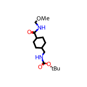 COCNC(=O)C1CCC(CNC(=O)OC(C)(C)C)CC1